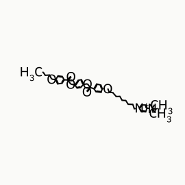 CCCCOc1ccc(C(=O)Oc2ccc(OC(=O)c3ccc(OCCCCCCCCC[n+]4ccc(N(C)C)cc4)cc3)cc2)cc1